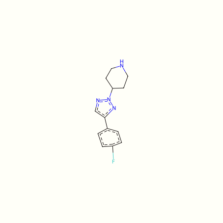 Fc1ccc(-c2cnn(C3CCNCC3)n2)cc1